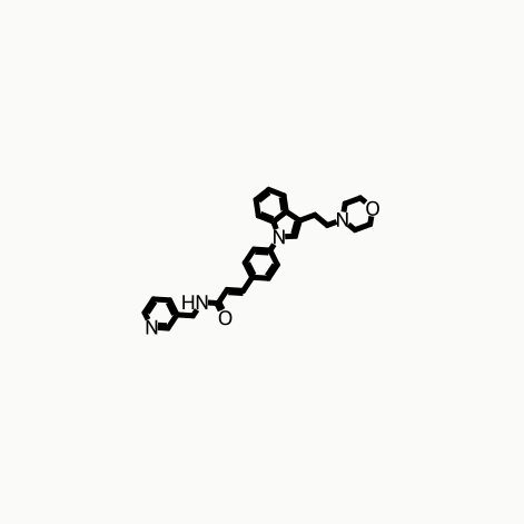 O=C(C=Cc1ccc(-n2cc(CCN3CCOCC3)c3ccccc32)cc1)NCc1cccnc1